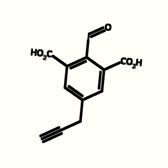 C#CCc1cc(C(=O)O)c(I=O)c(C(=O)O)c1